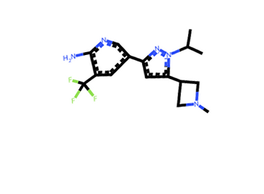 CC(C)n1nc(-c2cnc(N)c(C(F)(F)F)c2)cc1C1CN(C)C1